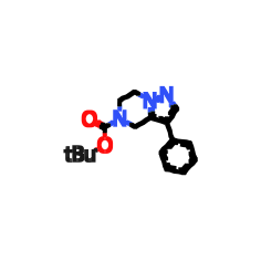 CC(C)(C)OC(=O)N1CCn2ncc(-c3ccccc3)c2C1